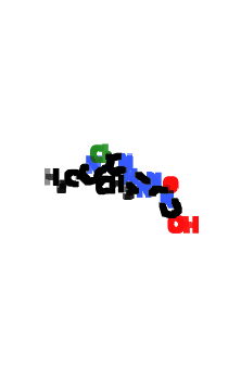 Cc1cnc(-c2cc(N3CCn4cc(C(=O)N5CCC(O)CC5)nc4C3)ncc2Cl)c(C)c1